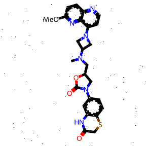 COc1ccc2nccc(N3CC(N(C)CC4CN(c5ccc6c(c5)NC(=O)CS6)C(=O)O4)C3)c2n1